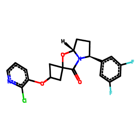 O=C1N2[C@@H](CC[C@H]2c2cc(F)cc(F)c2)OC12CC(Oc1cccnc1Cl)C2